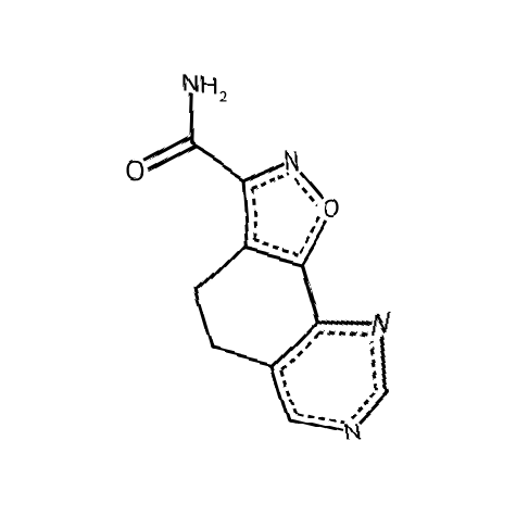 NC(=O)c1noc2c1CCc1cncnc1-2